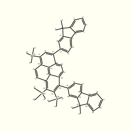 CC1(C)c2ccccc2-c2ccc(-c3cc([Si](C)(C)C)c4ccc5c([Si](C)(C)C)c([Si](C)(C)C)c(-c6ccc7c(c6)C(C)(C)c6ccccc6-7)c6ccc3c4c65)cc21